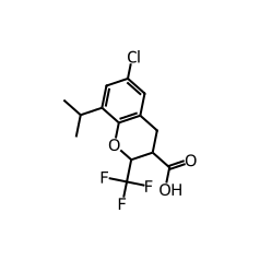 CC(C)c1cc(Cl)cc2c1OC(C(F)(F)F)C(C(=O)O)C2